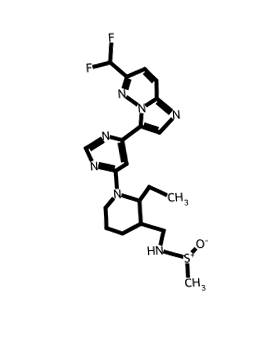 CCC1C(CN[S+](C)[O-])CCCN1c1cc(-c2cnc3ccc(C(F)F)nn23)ncn1